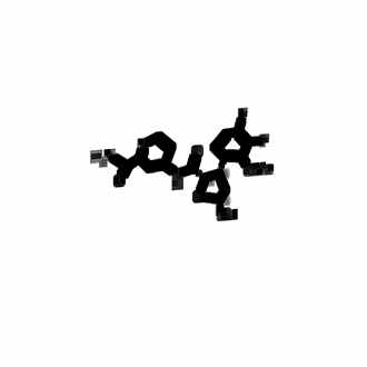 COc1c([C@@H]2C[C@@H](C(C)(C)C)O[C@@H]2C(=O)Nc2ccnc(C(N)=O)c2)ccc(F)c1F